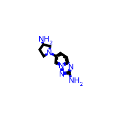 Nc1nc2ccc(N3CCC(N)C3)cn2n1